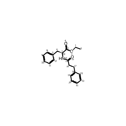 CCOC(=O)[C@H](Cc1ccccc1)NC(=O)CCc1ccccc1